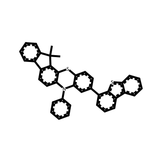 CC1(C)c2ccccc2-c2ccc3c(c21)Sc1ccc(-c2cccc4c2sc2ccccc24)cc1N3c1ccccc1